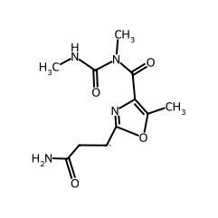 CNC(=O)N(C)C(=O)c1nc([CH]CC(N)=O)oc1C